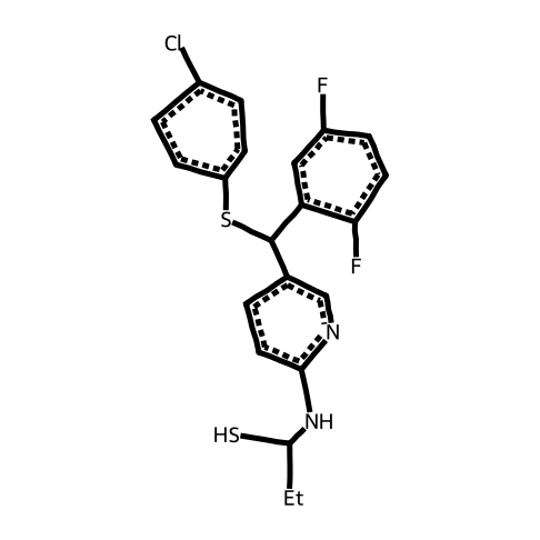 CCC(S)Nc1ccc(C(Sc2ccc(Cl)cc2)c2cc(F)ccc2F)cn1